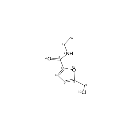 CCNC(=O)c1ccc(CCl)o1